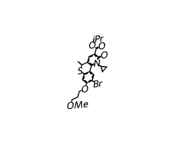 COCCCOc1cc2c(cc1Br)-c1c(cc(C(=O)OC(C)C)c(=O)n1C1CC1)C(C)S2